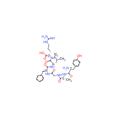 CC(C)C[C@H](NC(=O)[C@H](Cc1ccccc1)NC(=O)CNC(=O)[C@@H](C)NC(=O)[C@H](N)Cc1ccc(O)cc1)C(=O)N[C@@H](CCCNC(=N)N)C(=O)O